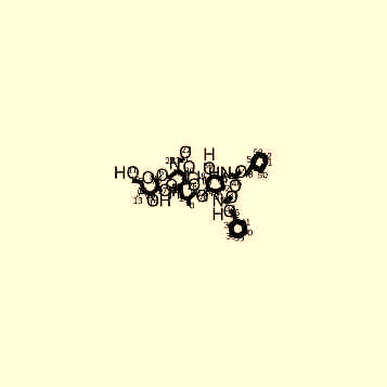 CC1C[C@@H]2OC(O[C@H]3OC(CO)[C@@H](C)[C@H](O)C3O)C3C(OC(=O)N3C)C2O[C@@H]1O[C@@H]1C(NC(=O)OCc2ccccc2)C[C@@H](NC(=O)OCc2ccccc2)C(O)[C@H]1Cl